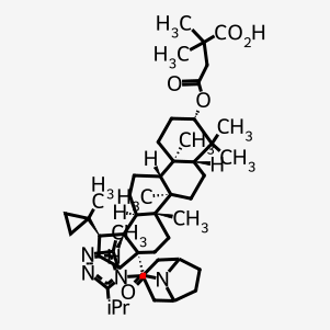 Cc1nnc(C(C)C)n1C1CC2CCC(C1)N2C(=O)[C@]12CC[C@@H](C3(C)CC3)[C@@H]1[C@H]1CC[C@@H]3[C@@]4(C)CC[C@H](OC(=O)CC(C)(C)C(=O)O)C(C)(C)[C@@H]4CC[C@@]3(C)[C@]1(C)CC2